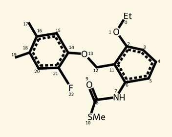 CCOc1cccc(NC(=O)SC)c1COc1cc(C)c(C)cc1F